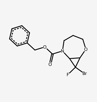 O=C(OCc1ccccc1)N1CCCOC2C1C2(F)Br